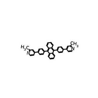 Cc1cc(-c2ccc(-c3c4ccccc4c(-c4ccc(-c5ccnc(C)c5)cc4)c4ccccc34)cc2)ccn1